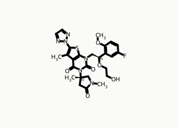 COc1ccc(F)cc1[C@H](Cn1c(=O)n([C@@]2(C)CC(=O)N(C)C2)c(=O)c2c(C)c(-n3nccn3)sc21)OCCO